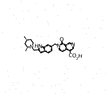 C[C@H]1CCN(Cc2cc3ccc(Cn4ccc5c(C(=O)O)cncc5c4=O)cc3[nH]2)[C@@H](C)C1